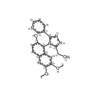 COc1nc2ccc(Cl)c(-n3c(CO)nnc3-c3cccnc3)c2nc1OC